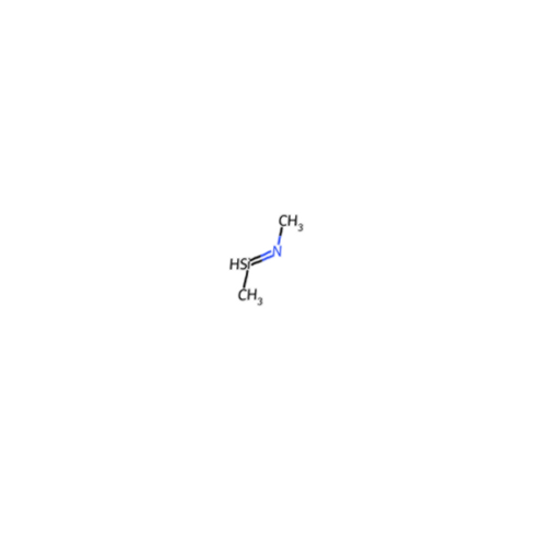 CN=[SiH]C